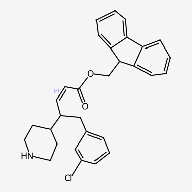 O=C(/C=C\C(Cc1cccc(Cl)c1)C1CCNCC1)OCC1c2ccccc2-c2ccccc21